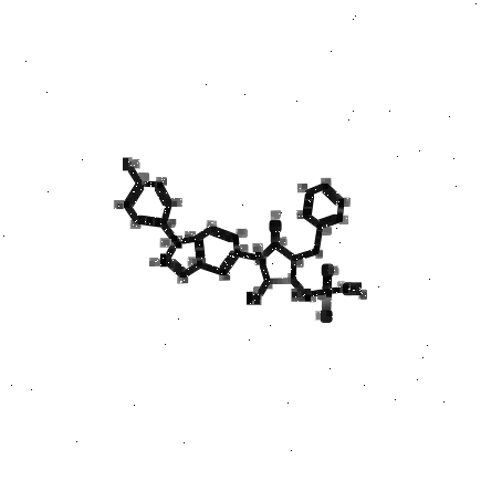 CCC1C(NS(C)(=O)=O)C(Cc2ccccc2)C(=O)N1c1ccc2c(cnn2-c2ccc(F)cc2)c1